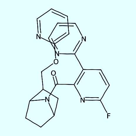 O=C(c1nc(F)ccc1-c1ncccn1)N1C2CCC1C(COc1ccccn1)C2